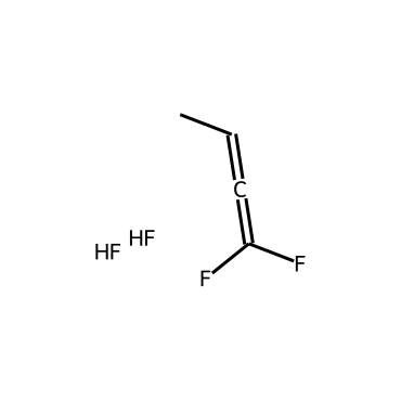 CC=C=C(F)F.F.F